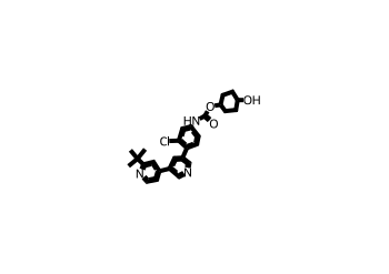 CC(C)(C)c1cc(-c2cncc(-c3ccc(NC(=O)OC4CCC(O)CC4)cc3Cl)c2)ccn1